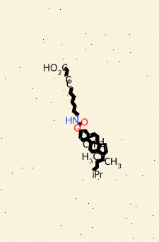 CC(C)CCC[C@@H](C)C1CCC2[C@@H]3CC=C4C[C@@H](OC(=O)NCCCCCCCCCCCC(=O)O)CC[C@]4(C)C3CC[C@@]21C